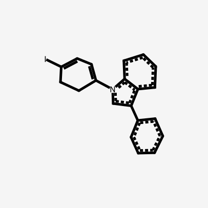 IC1=CC=C(n2cc(-c3ccccc3)c3ccccc32)CC1